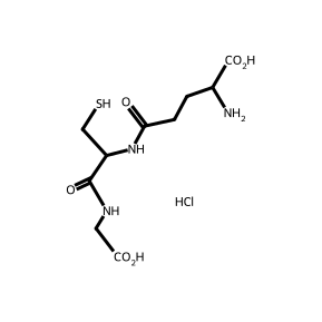 Cl.NC(CCC(=O)NC(CS)C(=O)NCC(=O)O)C(=O)O